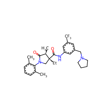 CC[C@@]1(C(=O)Nc2cc(CN3CCCC3)cc(C(F)(F)F)c2)CN(c2c(C)cccc2C)C(=O)[C@H]1C